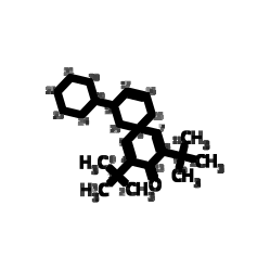 CC(C)(C)C1=CC2(C=C(C(C)(C)C)C1=O)CC=CC(C1CCCCC1)C2